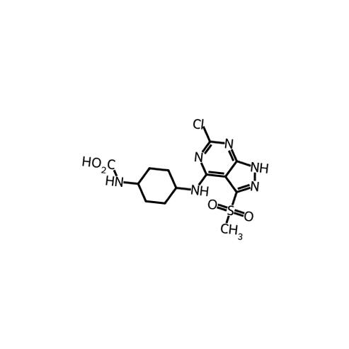 CS(=O)(=O)c1n[nH]c2nc(Cl)nc(NC3CCC(NC(=O)O)CC3)c12